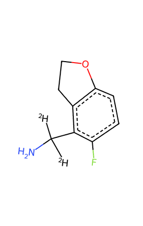 [2H]C([2H])(N)c1c(F)ccc2c1CCO2